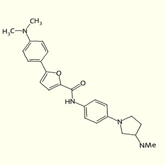 CNC1CCN(c2ccc(NC(=O)c3ccc(-c4ccc(N(C)C)cc4)o3)cc2)C1